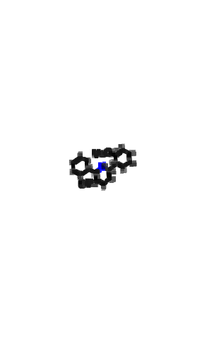 COc1ccccc1-c1cccc(-c2ccccc2OC)n1